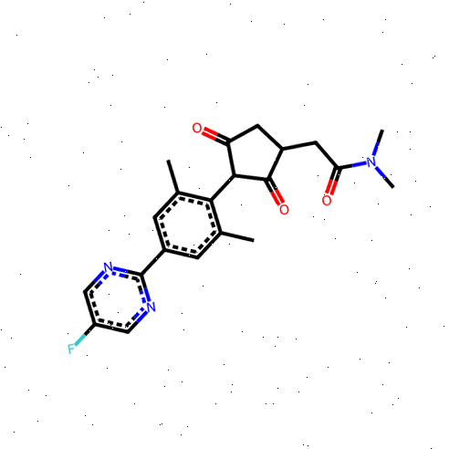 Cc1cc(-c2ncc(F)cn2)cc(C)c1C1C(=O)CC(CC(=O)N(C)C)C1=O